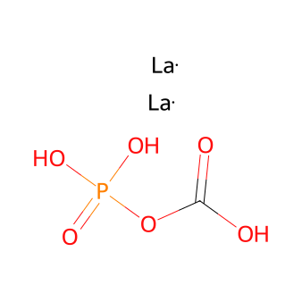 O=C(O)OP(=O)(O)O.[La].[La]